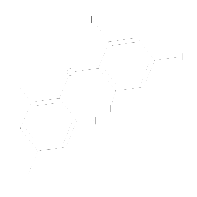 Ic1cc(I)c(Oc2c(I)cc(I)cc2I)c(I)c1